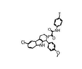 COc1ccc(C2C3=C(CCN2C(=O)C(=O)Nc2ccc(F)cc2)C2C=C(Cl)C=CC2N3)cc1